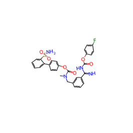 CN(Cc1cccc(C(=N)NC(=O)Oc2ccc(F)cc2)c1)C(=O)Oc1ccc(-c2ccccc2S(N)(=O)=O)cc1